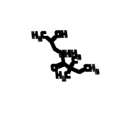 CCC(C)(C)C(=O)NCC(C)O